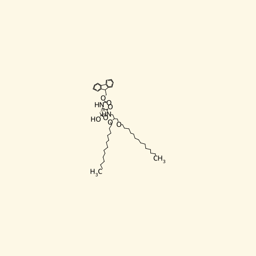 CCCCCCCCCCCCCCOCC(CNC(=O)[C@H](CC(=O)O)NC(=O)OCC1c2ccccc2-c2ccccc21)OCCCCCCCCCCCCCC